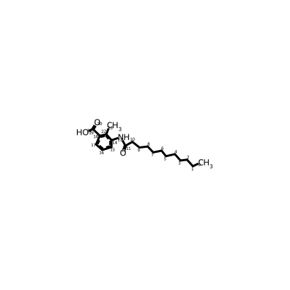 CCCCCCCCCCCC(=O)Nc1cccc(C(=O)O)c1C